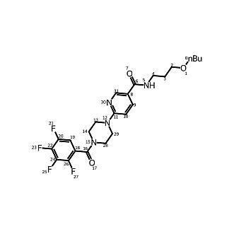 CCCCOCCCNC(=O)c1ccc(N2CCN(C(=O)c3cc(F)c(F)c(F)c3F)CC2)nc1